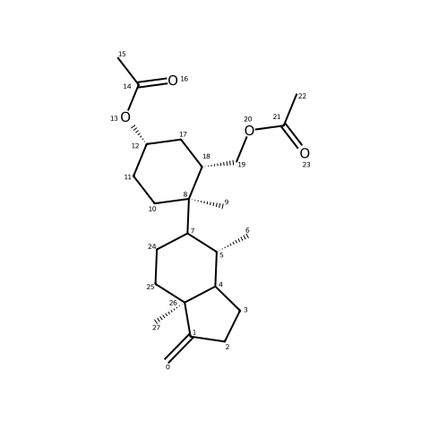 C=C1CCC2[C@@H](C)C([C@@]3(C)CC[C@H](OC(C)=O)C[C@@H]3COC(C)=O)CC[C@]12C